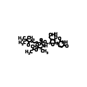 CC(C)OC(=O)[C@@H](C)N[P@@](=O)(OCCSC(=O)C(C)(C)C)OC[C@H]1O[C@@H](n2ccc(=O)[nH]c2=O)[C@H](O)[C@@H]1CO